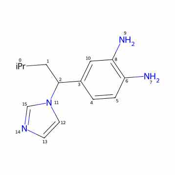 CC(C)CC(c1ccc(N)c(N)c1)n1ccnc1